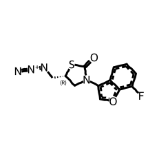 [N-]=[N+]=NC[C@H]1CN(c2coc3c(F)cccc23)C(=O)S1